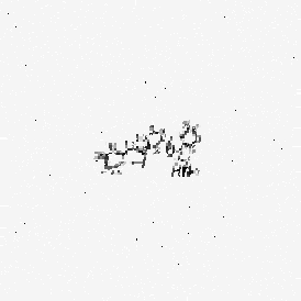 CNCCC(OCc1cccc(NCc2ccccc2)c1)c1ccccc1